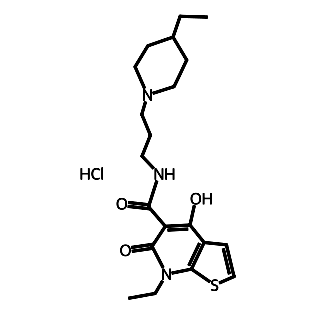 CCC1CCN(CCCNC(=O)c2c(O)c3ccsc3n(CC)c2=O)CC1.Cl